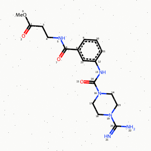 COC(=O)CCNC(=O)c1cccc(NC(=O)N2CCN(C(=N)N)CC2)c1